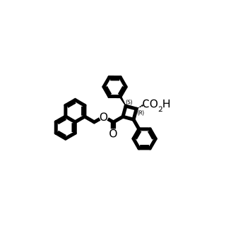 O=C(OCc1cccc2ccccc12)C1C(c2ccccc2)[C@@H](C(=O)O)[C@@H]1c1ccccc1